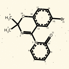 CC1(C)N=C(n2ccccc2=O)c2cc(Br)ccc2O1